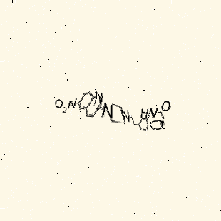 O=C1COc2ccc(CCN3CCN(c4ccc5cc([N+](=O)[O-])ccc5n4)CC3)cc2N1